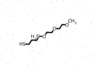 COCCOCCO[SiH2]CCCS